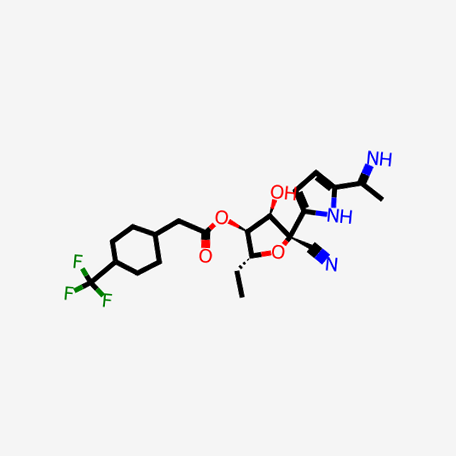 CC[C@H]1O[C@@](C#N)(c2ccc(C(C)=N)[nH]2)[C@H](O)[C@@H]1OC(=O)CC1CCC(C(F)(F)F)CC1